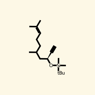 C#C[C@H](CC(C)CCC=C(C)C)O[Si](C)(C)C(C)(C)C